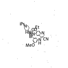 CCOc1cc2ncc(C#N)c(Nc3cc(Br)cc(OC)c3)c2cc1NC(=O)NC1CCN(C(C)C)CC1